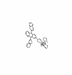 CC1C=CCCC1N1C(C2C=CC(c3ccc4c(-c5ccc6ccccc6c5)c5ccccc5c(C5=CC6=C(CCC=C6)CC5)c4c3)CC2)=NC2C=CC=CC21C